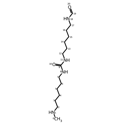 CNCCCCCCNC(=O)NCCCCCCNC=O